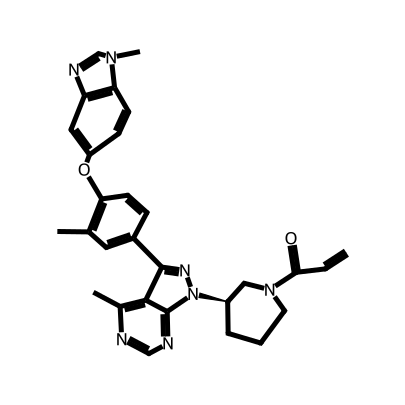 C=CC(=O)N1CCC[C@@H](n2nc(-c3ccc(Oc4ccc5c(c4)ncn5C)c(C)c3)c3c(C)ncnc32)C1